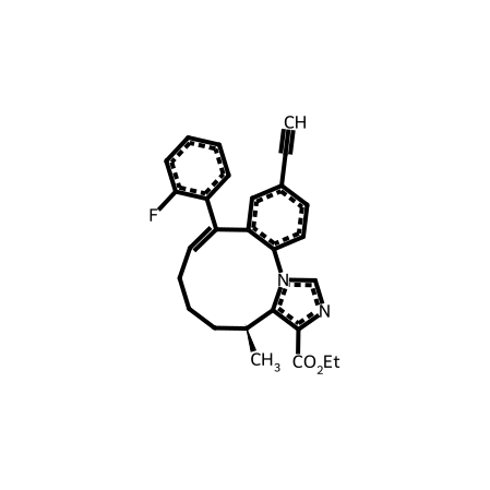 C#Cc1ccc2c(c1)/C(c1ccccc1F)=C\CCC[C@H](C)c1c(C(=O)OCC)ncn1-2